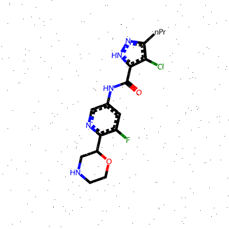 CCCc1n[nH]c(C(=O)Nc2cnc(C3CNCCO3)c(F)c2)c1Cl